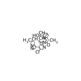 C[C@H](C(=O)Nc1cc(-c2cnn3c2CC(C)(C)C3)c(Cl)cn1)c1cccc(C(C)(C)O)n1